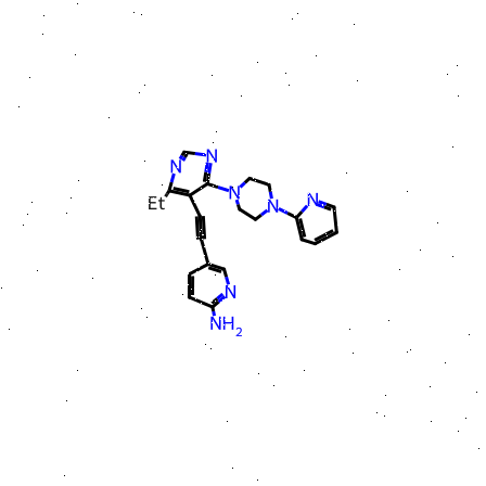 CCc1ncnc(N2CCN(c3ccccn3)CC2)c1C#Cc1ccc(N)nc1